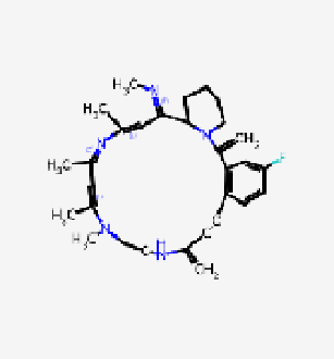 C=C1CCc2ccc(F)cc2C(=C)N2CCCCC2C(=N/C)/C=C(C)/N=C(C)\C=C(/C)N(C)CCN1